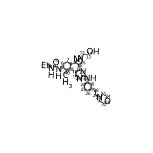 CCNC(=O)Nc1ccc(-c2nn(CCO)cc2-c2ccnc(Nc3cccc(CCN4CCOCC4)c3)n2)cc1C